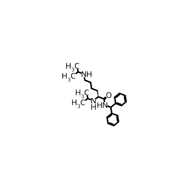 CC(C)NCCCC[C@H](NC(C)C)C(=O)NC(c1ccccc1)c1ccccc1